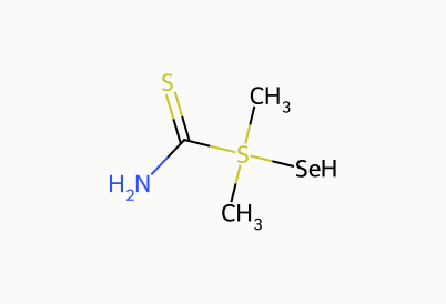 CS(C)([SeH])C(N)=S